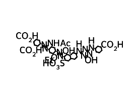 CCOc1cc(N=Nc2cc(C(=O)O)ccc2C(=O)O)c(NC(C)=O)cc1N=Nc1c(S(=O)(=O)O)cc2ccc(Nc3nc(O)nc(Nc4cccc(C(=O)O)c4)n3)cc2c1O